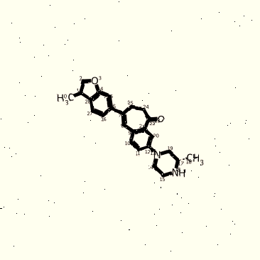 CC1COc2cc(C3=Cc4ccc(N5CCN[C@@H](C)C5)cc4C(=O)CC3)ccc21